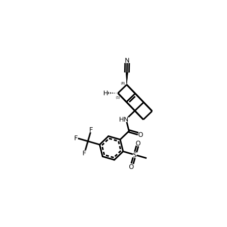 CS(=O)(=O)c1ccc(C(F)(F)F)cc1C(=O)NC12C3=C4C1C1C2[C@@H]3[C@@]41C#N